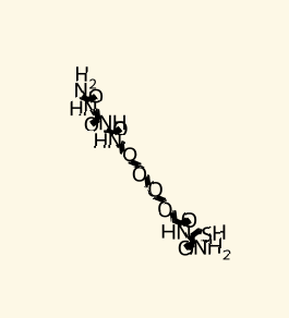 NCC(=O)NCC(=O)NCC(=O)NCCOCCOCCOCCOCCC(=O)NC(CS)C(N)=O